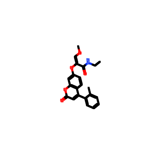 CCNC(=O)C(=COC)Oc1ccc2c(-c3ccccc3C)cc(=O)oc2c1